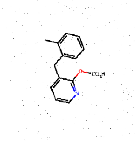 Cc1ccccc1Cc1cccnc1OC(=O)O